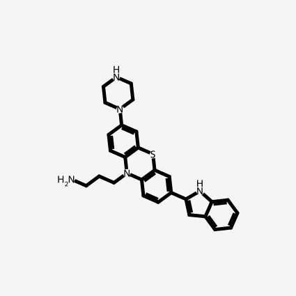 NCCCN1c2ccc(-c3cc4ccccc4[nH]3)cc2Sc2cc(N3CCNCC3)ccc21